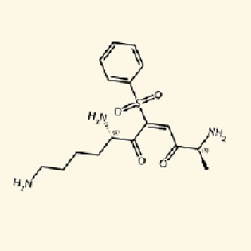 C[C@H](N)C(=O)C=C(C(=O)[C@@H](N)CCCCN)S(=O)(=O)c1ccccc1